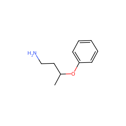 CC(CCN)Oc1ccccc1